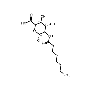 CCCCCCCC(=O)NC1[C@H](C)OC(C(=O)O)[C@@H](O)[C@@H]1O